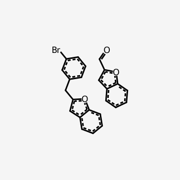 Brc1cccc(Cc2cc3ccccc3o2)c1.O=Cc1cc2ccccc2o1